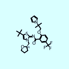 CC(C)(C)c1cn(C[C@H]2CCCO2)c(=NC(=O)c2cc(C(F)(F)F)ccc2OCC(C)(C)n2cccc2)s1